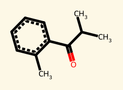 Cc1ccccc1C(=O)C(C)C